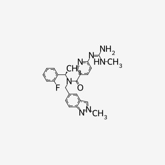 CN/C(N)=N\c1ccc(C(=O)N(Cc2ccc3nn(C)cc3c2)[C@H](C)c2ccccc2F)cn1